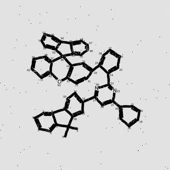 CC1(C)c2ccccc2-c2ccc(-c3cc(-c4ccccc4)nc(-c4ccccc4-c4ccc5c(c4)C4(c6ccccc6O5)c5ccccc5-c5ccccc54)n3)cc21